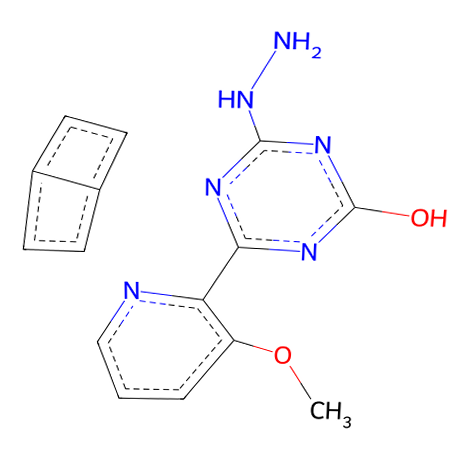 COc1cccnc1-c1nc(O)nc(NN)n1.c1cc2ccc1-2